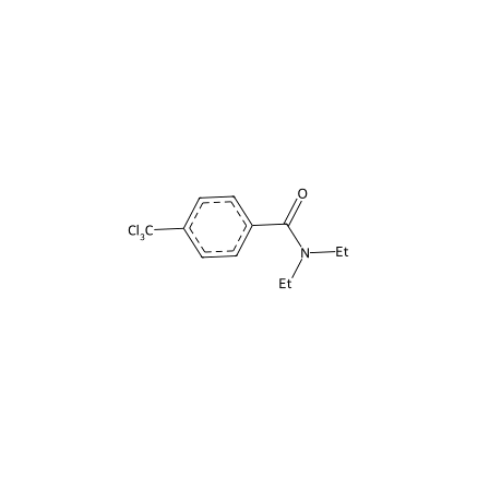 CCN(CC)C(=O)c1ccc(C(Cl)(Cl)Cl)cc1